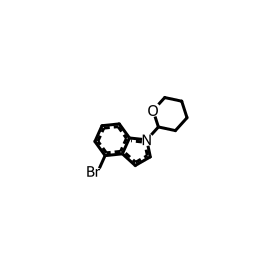 Brc1cccc2c1ccn2C1CCCCO1